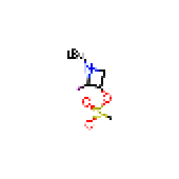 CC(C)(C)N1CC(OS(C)(=O)=O)C1I